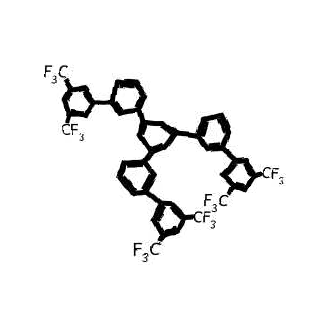 FC(F)(F)c1cc(-c2cccc(-c3cc(-c4cccc(-c5cc(C(F)(F)F)cc(C(F)(F)F)c5)c4)cc(-c4cccc(-c5cc(C(F)(F)F)cc(C(F)(F)F)c5)c4)c3)c2)cc(C(F)(F)F)c1